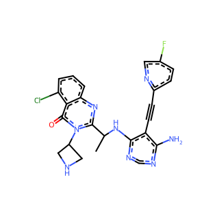 CC(Nc1ncnc(N)c1C#Cc1ccc(F)cn1)c1nc2cccc(Cl)c2c(=O)n1C1CNC1